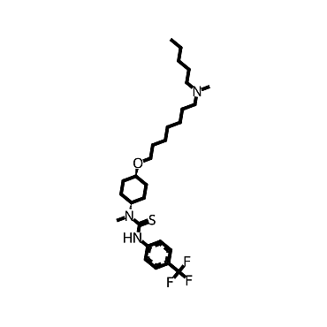 CCCCCN(C)CCCCCCCO[C@H]1CC[C@H](N(C)C(=S)Nc2ccc(C(F)(F)F)cc2)CC1